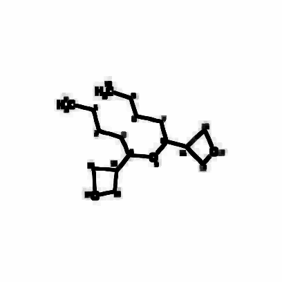 CCCCC(OC(CCCC)C1COC1)C1COC1